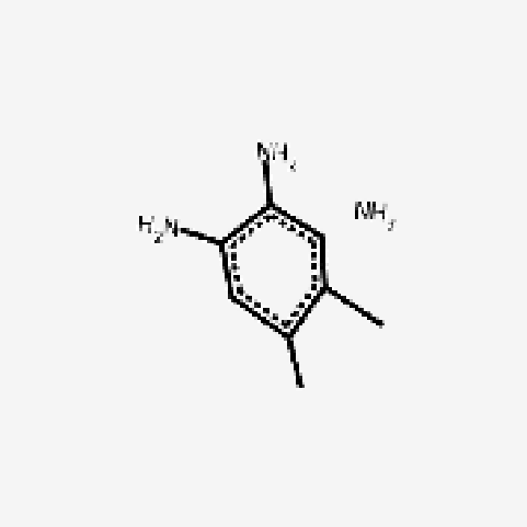 Cc1cc(N)c(N)cc1C.N